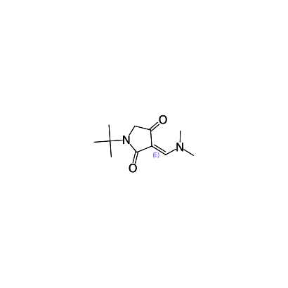 CN(C)/C=C1\C(=O)CN(C(C)(C)C)C1=O